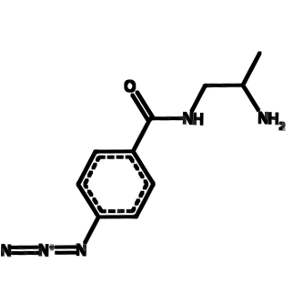 CC(N)CNC(=O)c1ccc(N=[N+]=[N-])cc1